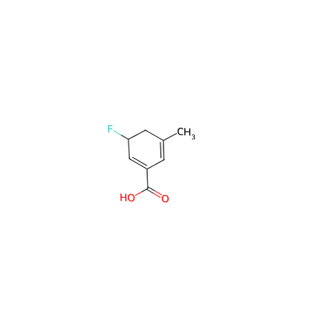 CC1=CC(C(=O)O)=CC(F)C1